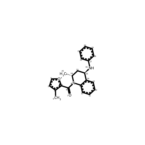 Cc1ccoc1C(=O)N1c2ccccc2[C@H](Nc2ccccc2)C[C@H]1C